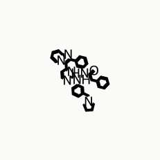 O=C(Cc1ccccc1)Nc1cccc(-c2nc3ccccn3c2-c2ccnc(Nc3cccc(CN4CCCC4)c3)n2)c1